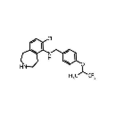 CC(Oc1ccc(CNc2c(Cl)ccc3c2CCNCC3)cc1)C(F)(F)F